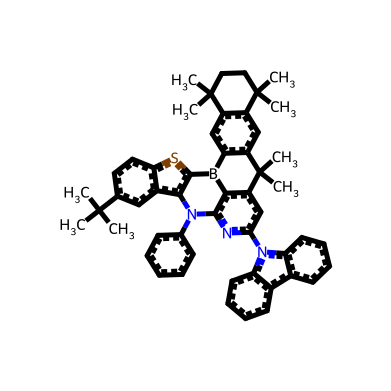 CC(C)(C)c1ccc2sc3c(c2c1)N(c1ccccc1)c1nc(-n2c4ccccc4c4ccccc42)cc2c1B3c1cc3c(cc1C2(C)C)C(C)(C)CCC3(C)C